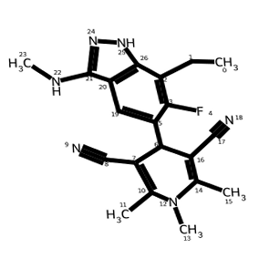 CCc1c(F)c(C2C(C#N)=C(C)N(C)C(C)=C2C#N)cc2c(NC)n[nH]c12